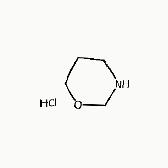 C1CNCOC1.Cl